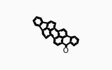 O=C1c2ccccc2-c2ccc3c4ccc5c6c(ccc(c7ccc1c2c73)c64)-c1ccccc1-5